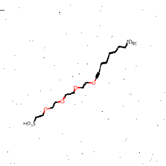 CCCCCCCCCCCCCCCCC#COCCOCCOCCOCCS(=O)(=O)O